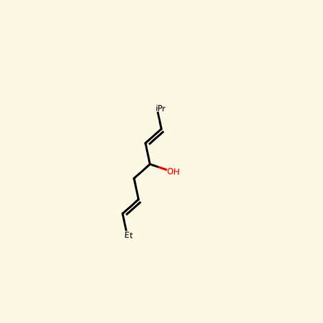 CCC=CCC(O)C=CC(C)C